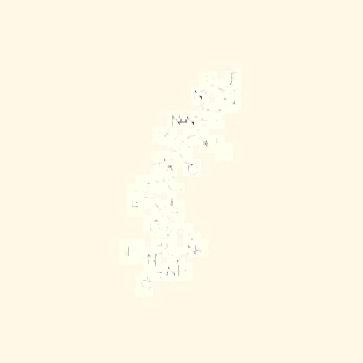 CC(C)n1c(=O)[nH]c2nccc(Oc3ccc(NC(=O)c4cnn(-c5ccc(F)cn5)c4C(F)(F)F)cc3F)c21